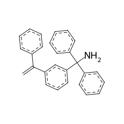 C=C(c1ccccc1)c1cccc(C(N)(c2ccccc2)c2ccccc2)c1